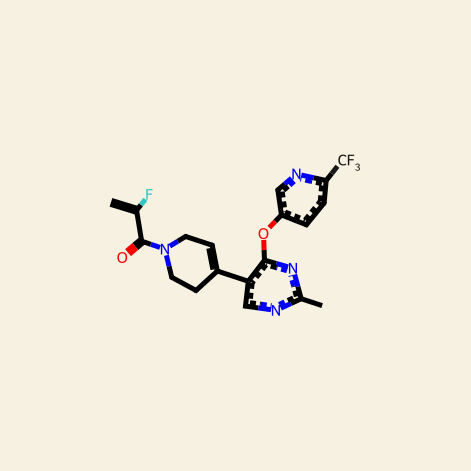 C=C(F)C(=O)N1CC=C(c2cnc(C)nc2Oc2ccc(C(F)(F)F)nc2)CC1